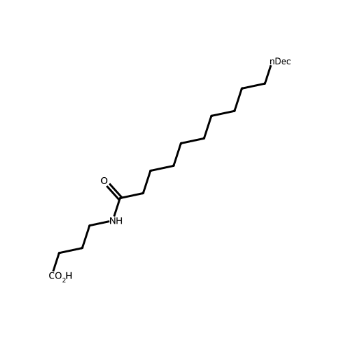 CCCCCCCCCCCCCCCCCCCC(=O)NCCCC(=O)O